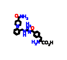 NC(=O)C1CCN(c2ccccc2CN/C(N)=N/C(=O)c2ccc(C[C@H](N)C(=O)O)cc2)CC1